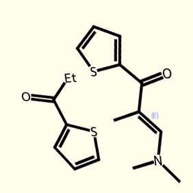 C/C(=C\N(C)C)C(=O)c1cccs1.CCC(=O)c1cccs1